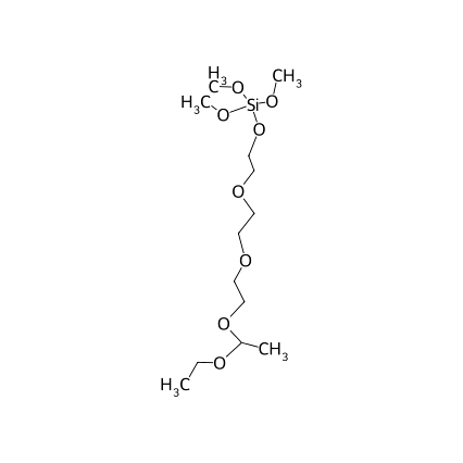 CCOC(C)OCCOCCOCCO[Si](OC)(OC)OC